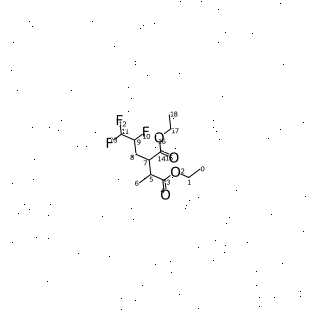 CCOC(=O)C(C)C(CC(F)C(F)F)C(=O)OCC